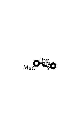 COc1cccc(C(=O)/C=C2/Sc3ccccc3N2C)c1